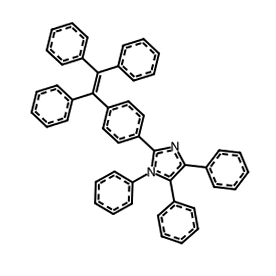 c1ccc(C(=C(c2ccccc2)c2ccc(-c3nc(-c4ccccc4)c(-c4ccccc4)n3-c3ccccc3)cc2)c2ccccc2)cc1